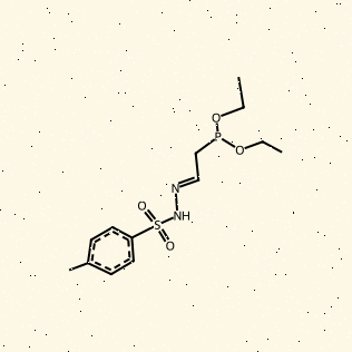 CCOP(C/C=N/NS(=O)(=O)c1ccc(C)cc1)OCC